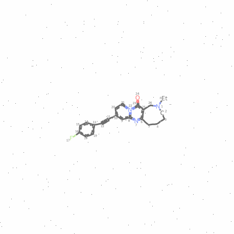 CCN1CCCCc2nc3cc(C#Cc4ccc(F)cc4)ccn3c(=O)c2C1